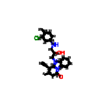 C#Cc1c(C)cc(=O)n2c3ccccc3n(CC(O)CNc3ccc(C)c(Cl)c3)c12